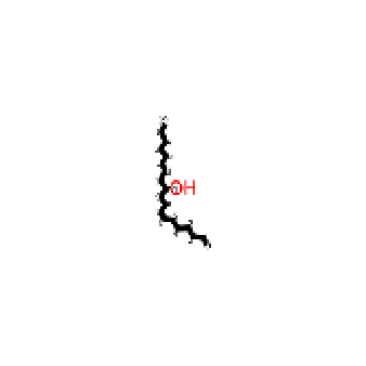 CCCCCC/C=C\CCC(O)CCCCCCCC